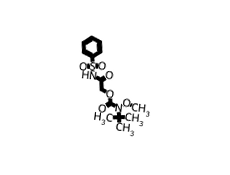 CON(C(=O)OCC(=O)NS(=O)(=O)c1ccccc1)C(C)(C)C